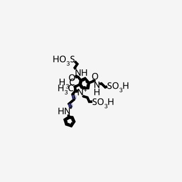 CC1(C)C(/C=C/C=C/Nc2ccccc2)=[N+](CCCS(=O)(=O)O)c2cc(C(=O)NCCS(=O)(=O)O)cc(C(=O)NCCS(=O)(=O)O)c21